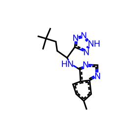 Cc1ccc2c(NC(CCC(C)(C)C)c3nn[nH]n3)ncnc2c1